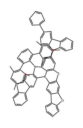 Cc1cc(C)c(-c2cccc(-c3c(C)cc(C)cc3C)c2N2c3cc4oc5ccccc5c4cc3B3c4cc5c(cc4Sc4cc(-n6c7ccccc7c7cc(-c8ccccc8)ccc76)cc2c43)oc2ccccc25)c(C)c1